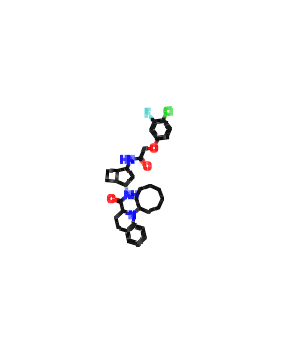 O=C(COc1ccc(Cl)c(F)c1)NC1C[C@H](NC(=O)C2CCc3ccccc3N2C2CCCCCCC2)C2CCC12